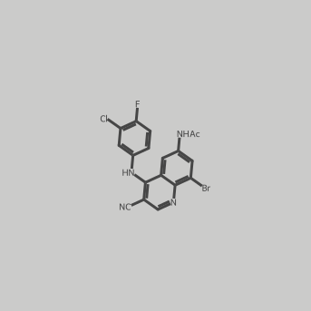 CC(=O)Nc1cc(Br)c2ncc(C#N)c(Nc3ccc(F)c(Cl)c3)c2c1